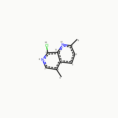 Cc1ccc2c(C)cnc(Cl)c2n1